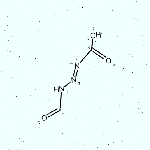 O=CNN=NC(=O)O